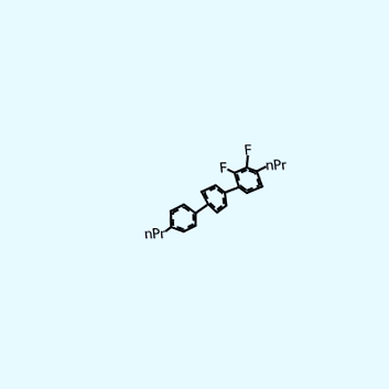 CCCc1ccc(-c2ccc(-c3ccc(CCC)c(F)c3F)cc2)cc1